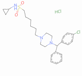 Cl.O=S(=O)(CCCCCCN1CCN(C(c2ccccc2)c2ccc(Cl)cc2)CC1)NC1CC1